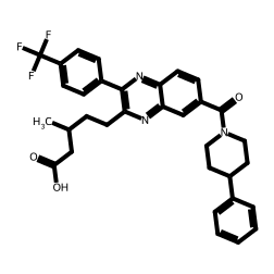 CC(CCc1nc2cc(C(=O)N3CCC(c4ccccc4)CC3)ccc2nc1-c1ccc(C(F)(F)F)cc1)CC(=O)O